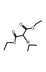 CCC.CCOC(=O)C(Br)C(=O)OCC